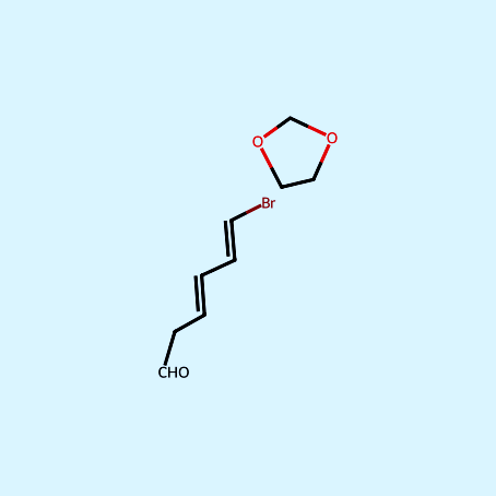 C1COCO1.O=CCC=CC=CBr